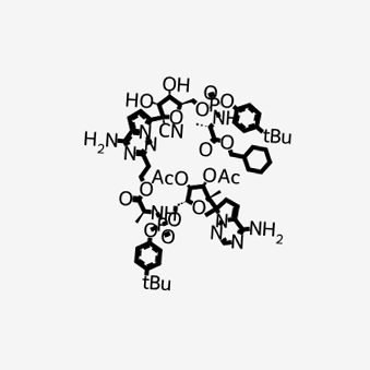 CC(=O)O[C@H]1[C@@H](OC(C)=O)[C@](C)(C2(C)CC=C3C(N)=NC=NN32)O[C@@H]1COP(=O)(N[C@@H](C)C(=O)OCCc1nc(N)c2ccc([C@]3(C#N)O[C@H](COP(=O)(N[C@@H](C)C(=O)OCC4CCCCC4)Oc4ccc(C(C)(C)C)cc4)[C@@H](O)[C@H]3O)n2n1)Oc1ccc(C(C)(C)C)cc1